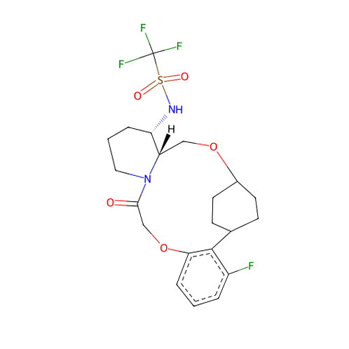 O=C1COc2cccc(F)c2C2CCC(CC2)OC[C@H]2[C@@H](NS(=O)(=O)C(F)(F)F)CCCN12